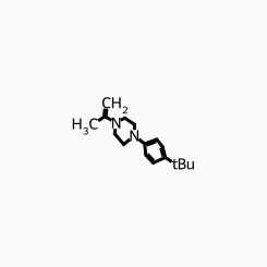 C=C(C)N1CCN(c2ccc(C(C)(C)C)cc2)CC1